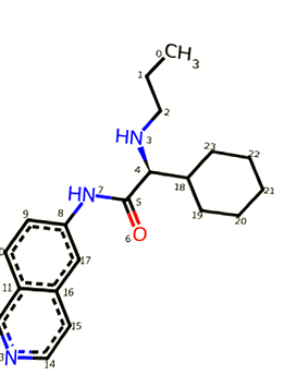 CCCN[C@H](C(=O)Nc1ccc2cnccc2c1)C1CCCCC1